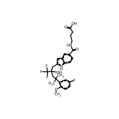 COc1ccc(F)cc1C(C)(C)CC(O)(Cc1cc2cc(C(=O)NCCCC(=O)O)ccc2[nH]1)C(F)(F)F